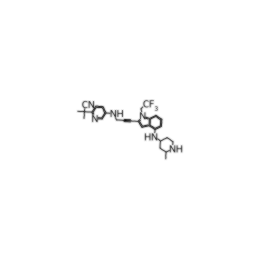 CC1CC(Nc2cccc3c2cc(C#CCNc2ccc(C(C)(C)C#N)nc2)n3CC(F)(F)F)CCN1